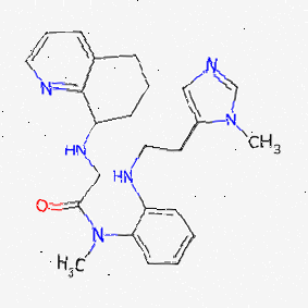 CN(C(=O)CNC1CCCc2cccnc21)c1ccccc1NCCc1cncn1C